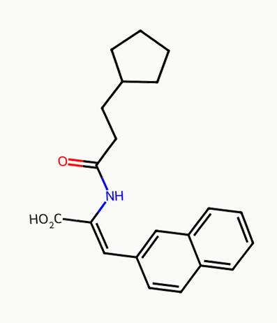 O=C(CCC1CCCC1)NC(=Cc1ccc2ccccc2c1)C(=O)O